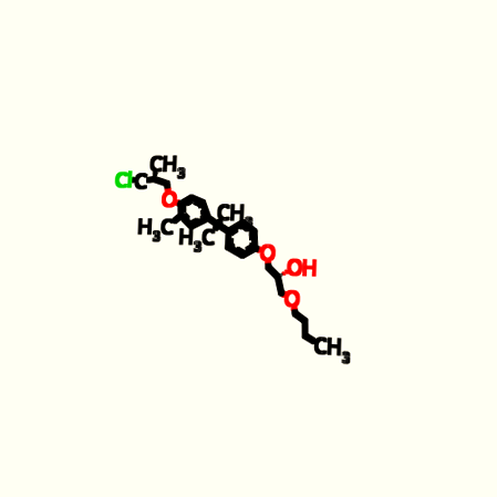 CCCCOC[C@@H](O)COc1ccc(C(C)(C)c2ccc(OC[C@H](C)CCl)c(C)c2)cc1